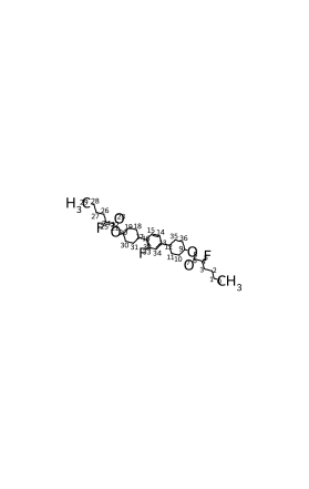 CCCCC(F)C(=O)OC1CCC(c2ccc(C3CCC(OC(=O)C(F)CCCC)CC3)c(F)c2)CC1